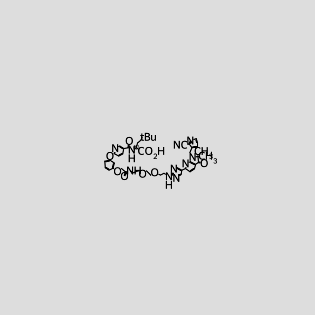 CC(C)(C)CC[C@H](NC(=O)c1ccc(Oc2cccc(OCC(=O)NCCOCCOCCNc3ncc(-c4ccc5c(n4)N(Cc4cccnc4C#N)C(C)(C)C5=O)cn3)c2)nc1)C(=O)O